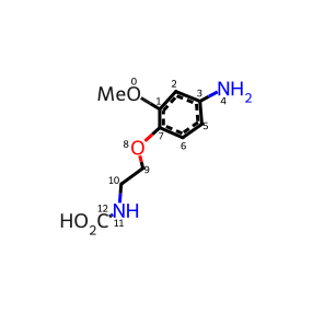 COc1cc(N)ccc1OCCNC(=O)O